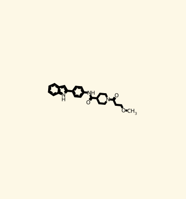 COCCC(=O)N1CCC(C(=O)Nc2ccc(-c3cc4ccccc4[nH]3)cc2)CC1